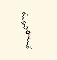 CCCCCC[C@H](F)COc1c(F)cc([C@H]2CC[C@H]([C@H]3CC[Si@H](CCCCC)CC3)CC2)cc1F